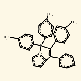 Cc1ccc(C2=C(c3ccccc3)c3ccc[o+]3[B-]2(c2ccc(C)cc2)c2ccc(C)cc2)cc1